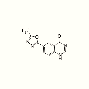 O=c1nc[nH]c2ccc(-c3nnc(C(F)(F)F)o3)cc12